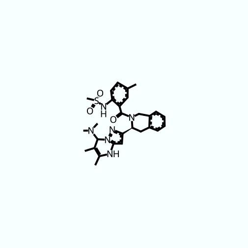 CC1=C(C)C(N(C)C)n2nc([C@@H]3Cc4ccccc4CN3C(=O)c3cc(C)ccc3NS(C)(=O)=O)cc2N1